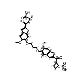 COc1cc2cc(C(=O)C[C@H](C)C(=O)O)sc2cc1OCCCOc1c(OC)cc2sc(C(=O)[C@@H]3CC[C@H]3C(=O)O)cc2c1F